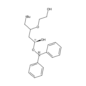 CC(C)(C)CC(C[C@@H](O)O[SiH](c1ccccc1)c1ccccc1)OCCO